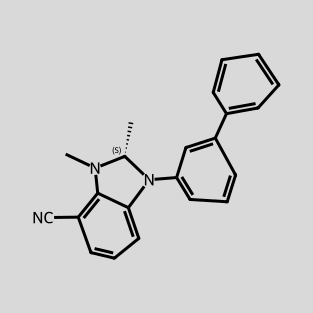 C[C@H]1N(C)c2c(C#N)cccc2N1c1cccc(-c2ccccc2)c1